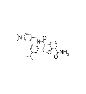 CC(C)c1ccc(N(Cc2ccc(N(C)C)cc2)C(=O)C2CCOc3c(C(N)=O)cccc32)cc1